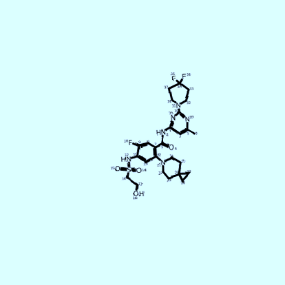 Cc1cc(NC(=O)c2cc(F)c(NS(=O)(=O)CCO)cc2N2CCC3(CC2)CC3)nc(N2CCC(F)(F)CC2)n1